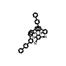 N#Cc1cc(C#N)c(-n2c3ccccc3c3cc(-c4ccc(-c5ccccc5)cc4)ccc32)c(-n2c3ccccc3c3ccccc32)c1-n1c2ccccc2c2cc(-c3ccc(-c4ccccc4)cc3)ccc21